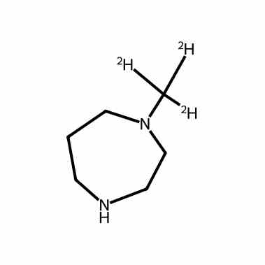 [2H]C([2H])([2H])N1CCCNCC1